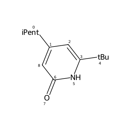 CCCC(C)c1cc(C(C)(C)C)[nH]c(=O)c1